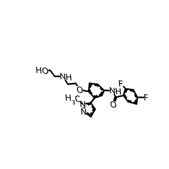 Cn1nccc1-c1cc(NC(=O)c2ccc(F)cc2F)ccc1OCCNCCO